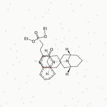 CCOP(=O)(CCc1nc2ccccc2n([C@H]2C[C@H]3CCC[C@@H](C2)N3[C@H]2C[C@@H]3C[C@@H](C)C[C@@H](C3)C2)c1=O)OCC